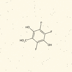 O=C(O)c1c(O)c(F)c(F)c(O)c1F